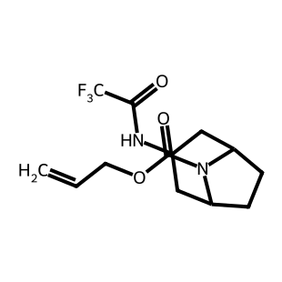 C=CCOC(=O)N1C2CCC1CC(NC(=O)C(F)(F)F)C2